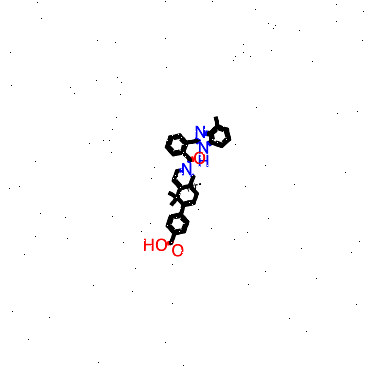 Cc1cccc2[nH]c(-c3ccccc3C(=O)N3CC=C4C(C)(C)C(c5ccc(C(=O)O)cc5)=CC[C@]4(C)C3)nc12